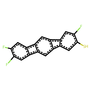 Fc1cc2c(cc1F)c1cc3c4cc(S)c(F)cc4c3cc21